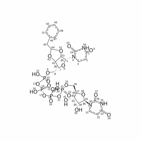 O=c1ccn([C@@H]2O[C@H](COP(=O)(O)OP(=O)(O)OP(=O)(O)OP(=O)(O)OC[C@H]3O[C@@H](n4ccc(=O)[nH]c4=O)[C@H](O)[C@@H]3O)C3OC(Cc4ccccc4)OC32)c(=O)[nH]1